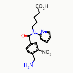 NCc1ccc(C(=O)N(CCCCC(=O)O)c2ccccn2)cc1[N+](=O)[O-]